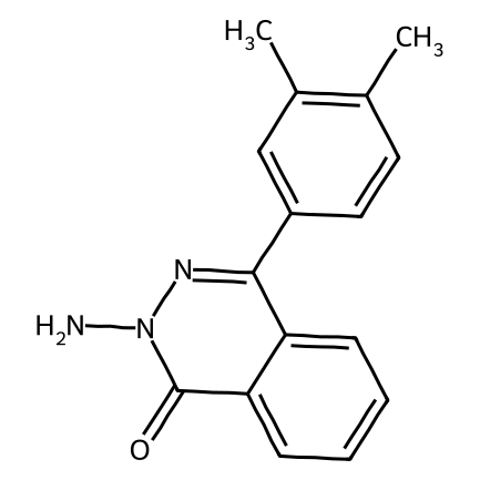 Cc1ccc(-c2nn(N)c(=O)c3ccccc23)cc1C